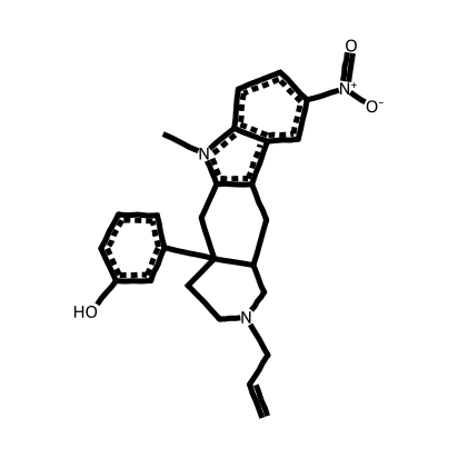 C=CCN1CCC2(c3cccc(O)c3)Cc3c(c4cc([N+](=O)[O-])ccc4n3C)CC2C1